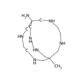 CC12CNCCNCC(N)(CNCCNC1)CNCCNC2